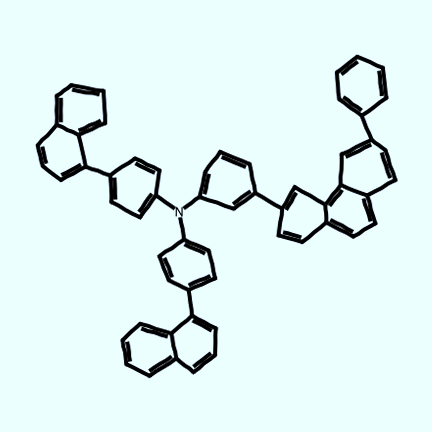 c1ccc(-c2ccc3ccc4ccc(-c5cccc(N(c6ccc(-c7cccc8ccccc78)cc6)c6ccc(-c7cccc8ccccc78)cc6)c5)cc4c3c2)cc1